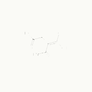 CC(C)=C(CC(=O)O)C(N)=O